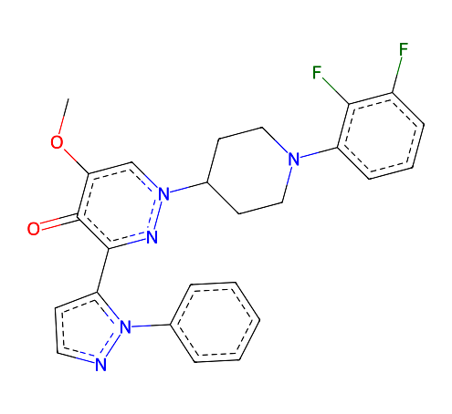 COc1cn(C2CCN(c3cccc(F)c3F)CC2)nc(-c2ccnn2-c2ccccc2)c1=O